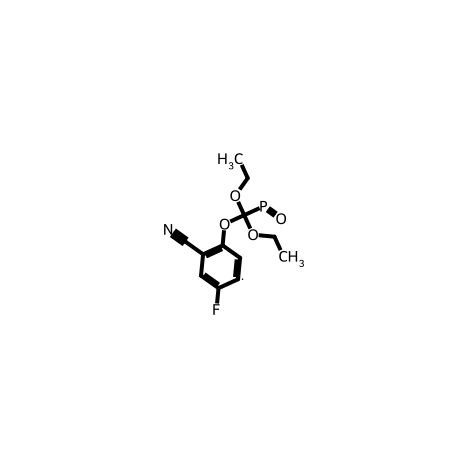 CCOC(OCC)(Oc1c[c]c(F)cc1C#N)P=O